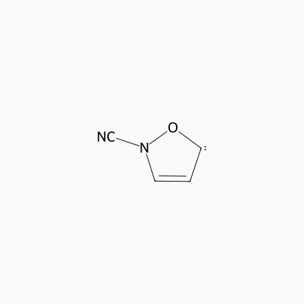 N#CN1C=C[C]O1